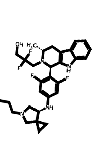 C[C@@H]1Cc2c([nH]c3ccccc23)[C@@H](c2c(F)cc(N[C@@H]3CN(CCCF)CC34CC4)cc2F)N1CC(F)(F)CO